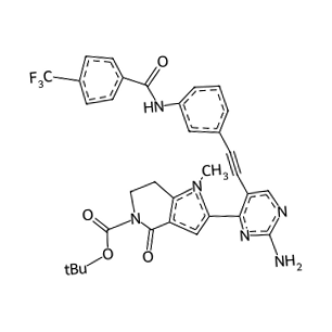 Cn1c(-c2nc(N)ncc2C#Cc2cccc(NC(=O)c3ccc(C(F)(F)F)cc3)c2)cc2c1CCN(C(=O)OC(C)(C)C)C2=O